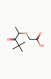 CC(SCC(=O)O)C(=O)C(C)(C)C